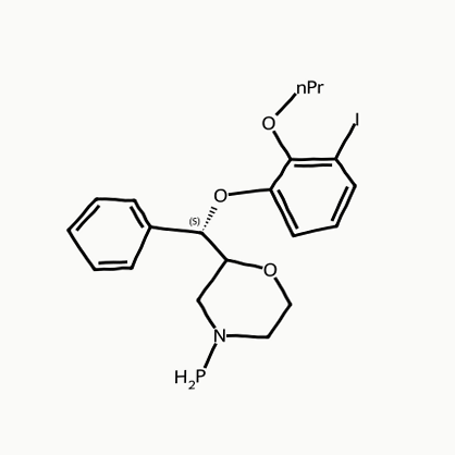 CCCOc1c(I)cccc1O[C@@H](c1ccccc1)C1CN(P)CCO1